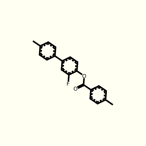 Cc1ccc(C(=O)Oc2ccc(-c3ccc(C)cc3)cc2F)cc1